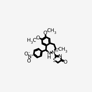 COc1cc2c(cc1OC)C(c1ccc([N+](=O)[O-])cc1)NN(C1=NC(=O)CS1)[C@@H](C)C2